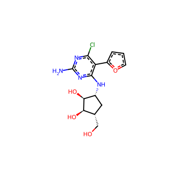 Nc1nc(Cl)c(-c2ccco2)c(N[C@@H]2C[C@H](CO)[C@@H](O)[C@H]2O)n1